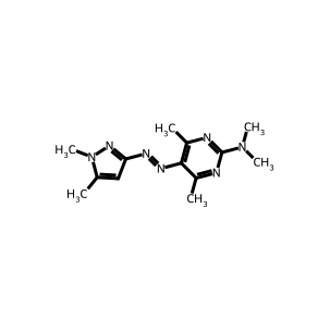 Cc1nc(N(C)C)nc(C)c1N=Nc1cc(C)n(C)n1